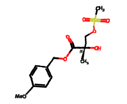 COc1ccc(COC(=O)[C@@](C)(O)COS(C)(=O)=O)cc1